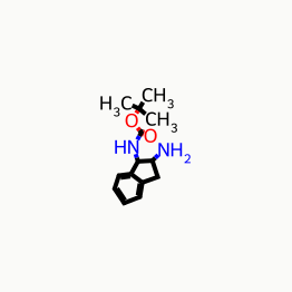 CC(C)(C)OC(=O)NC1c2ccccc2CC1N